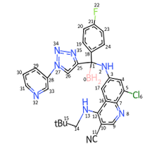 BC(Nc1cc(Cl)c2ncc(C#N)c(NCC(C)(C)C)c2c1)(c1ccc(F)cc1)c1cn(-c2cccnc2)nn1